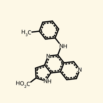 Cc1cccc(Nc2nc3cc(C(=O)O)[nH]c3c3ccncc23)c1